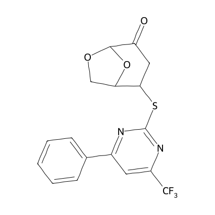 O=C1CC(Sc2nc(-c3ccccc3)cc(C(F)(F)F)n2)C2COC1O2